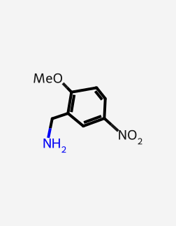 COc1ccc([N+](=O)[O-])cc1CN